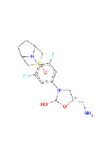 NC[C@H]1CN(c2cc(F)c(N3C4CCC3C[S+]([O-])C4)c(F)c2)C(O)O1